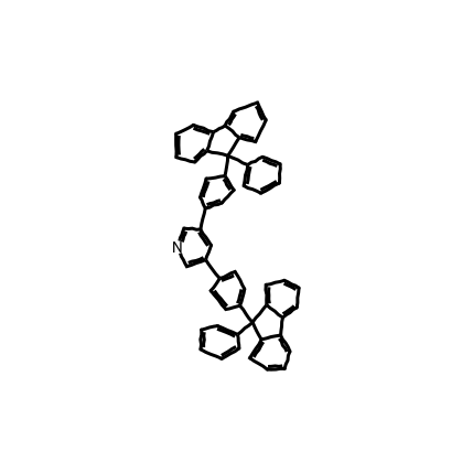 c1ccc(C2(c3ccc(-c4cncc(-c5ccc(C6(c7ccccc7)c7ccccc7-c7ccccc76)cc5)c4)cc3)c3ccccc3-c3ccccc32)cc1